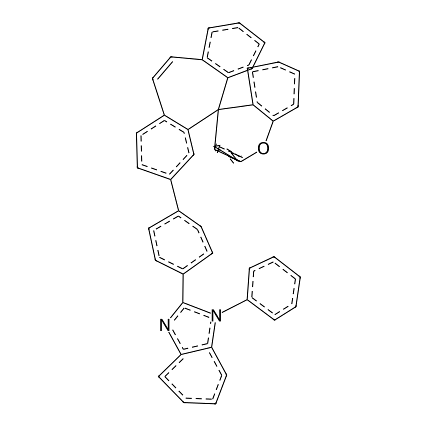 C1=Cc2ccc(-c3ccc(-c4nc5ccccc5n4-c4ccccc4)cc3)cc2C2(c3ccccc31)c1ccccc1Oc1ccccc12